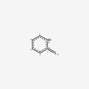 S=[n+]1cccc[nH]1